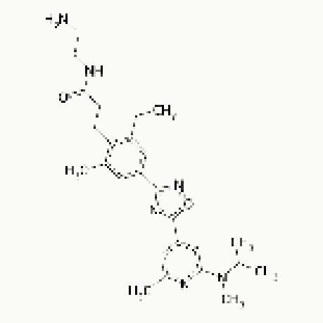 CCc1cc(-c2noc(-c3cc(C)nc(N(C)C(C)C)c3)n2)cc(C)c1CCC(=O)NCCN